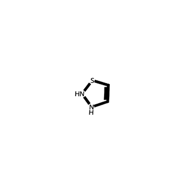 C1=CSNN1